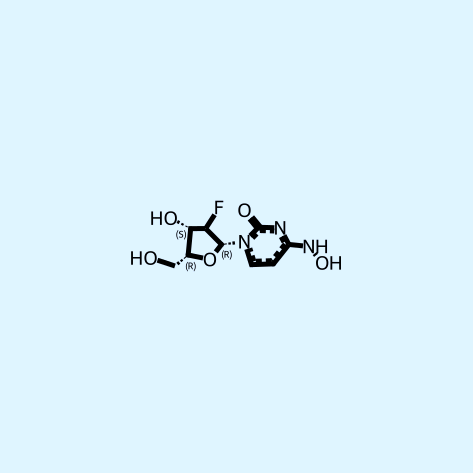 O=c1nc(NO)ccn1[C@@H]1O[C@H](CO)[C@H](O)C1F